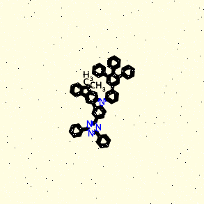 CC1(C)c2ccccc2-c2cc3c4cc(-c5nc(-c6ccccc6)nc(-c6ccccc6)n5)ccc4n(-c4cccc(-c5cc(-c6ccccc6)c(-c6ccccc6)c(-c6ccccc6)c5)c4)c3cc21